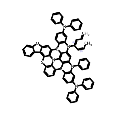 C=C/C=C(\C=C/C)N1c2cc(N(c3ccccc3)c3ccccc3)ccc2B2c3cc4oc5ccccc5c4c4c3N3c5c(cccc5B5c6ccc(N(c7ccccc7)c7ccccc7)cc6N(c6ccccc6)c6cc1c2c3c65)S4